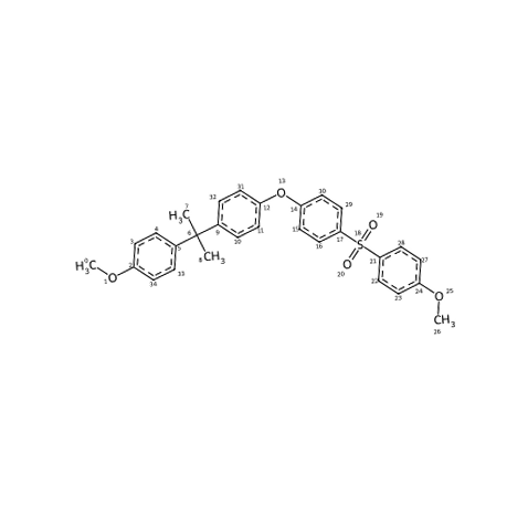 COc1ccc(C(C)(C)c2ccc(Oc3ccc(S(=O)(=O)c4ccc(OC)cc4)cc3)cc2)cc1